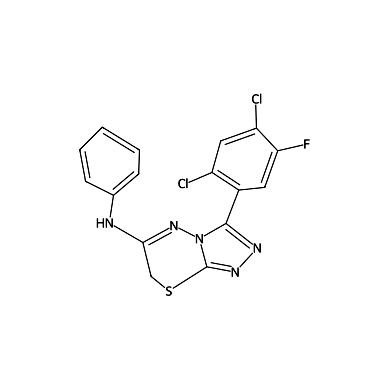 Fc1cc(-c2nnc3n2N=C(Nc2ccccc2)CS3)c(Cl)cc1Cl